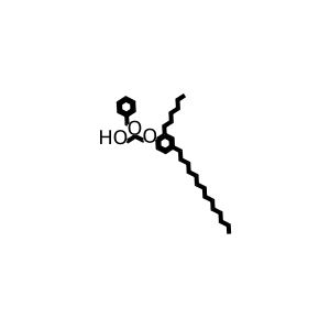 CCCCCCCCCCCCCCc1ccc(OCC(CO)OCc2ccccc2)c(CCCCCC)c1